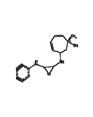 C[C@]1(O)C=CC=CC(NC2OC2Nc2c#cc#cc2)C1